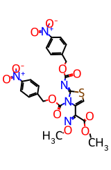 CCOC(=O)C(=NOC)c1csc(=NC(=O)OCc2ccc([N+](=O)[O-])cc2)n1C(=O)OCc1ccc([N+](=O)[O-])cc1